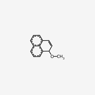 COC1C=Cc2cccc3cccc1c23